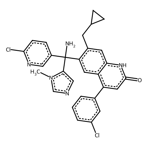 Cn1cncc1C(N)(c1ccc(Cl)nc1)c1cc2c(-c3cccc(Cl)c3)cc(=O)[nH]c2cc1CC1CC1